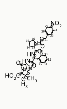 CC1(C)S[C@@H]2[C@H](NC(=O)C(NC(=O)[C@@H]3CCCN3C(=O)OCc3ccc([N+](=O)[O-])cc3)c3ccccc3)C(=O)N2[C@H]1C(=O)O